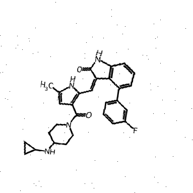 Cc1cc(C(=O)N2CCC(NC3CC3)CC2)c(/C=C2\C(=O)Nc3cccc(-c4cccc(F)c4)c32)[nH]1